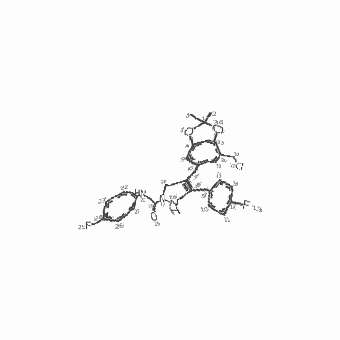 CC1(C)Oc2cc(C3=C(c4ccc(F)cc4)NN(C(=O)Nc4ccc(F)cc4)C3)cc(CCl)c2O1